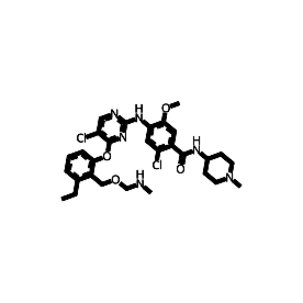 CCc1cccc(Oc2nc(Nc3cc(Cl)c(C(=O)NC4CCN(C)CC4)cc3OC)ncc2Cl)c1COCNC